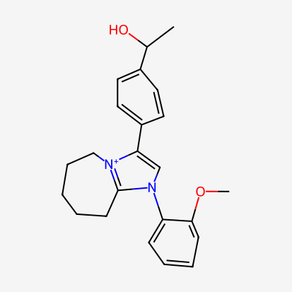 COc1ccccc1-n1cc(-c2ccc(C(C)O)cc2)[n+]2c1CCCCC2